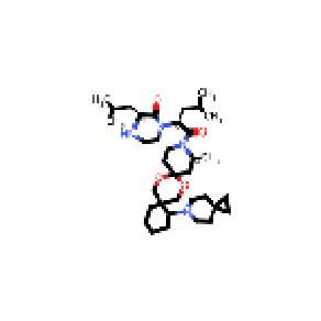 CC(C)C[C@@H]1NCCN([C@@H](CC(C)C)C(=O)N2CCC3(C[C@@H]2C)OCC2(CCCCC2N2CCC4(CC2)CC4)CO3)C1=O